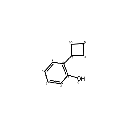 Oc1[c]cccc1C1CCC1